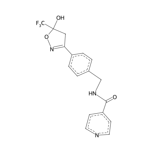 O=C(NCc1ccc(C2=NOC(O)(C(F)(F)F)C2)cc1)c1ccncc1